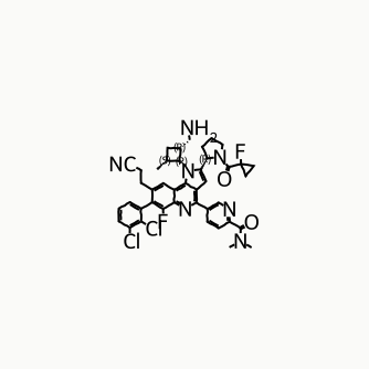 C[C@H]1C[C@H](CN)[C@@H]1n1c([C@H]2CCCN2C(=O)C2(F)CC2)cc2c(-c3ccc(C(=O)N(C)C)nc3)nc3c(F)c(-c4cccc(Cl)c4Cl)c(CCC#N)cc3c21